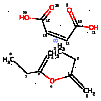 C=C(CC)OC(=C)CC.O=C(O)/C=C\C(=O)O